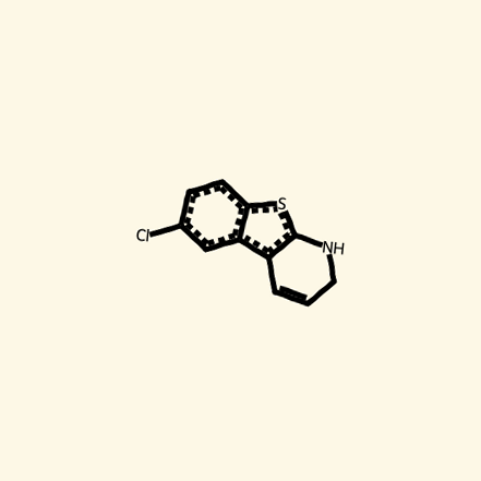 Clc1ccc2sc3c(c2c1)C=CCN3